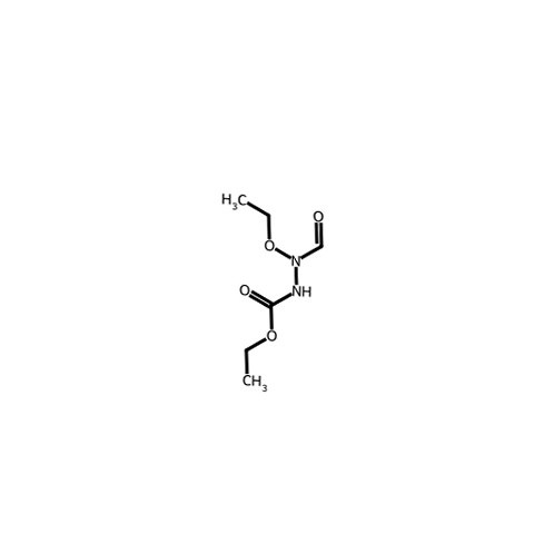 CCOC(=O)NN(C=O)OCC